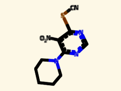 N#CSc1ncnc(N2CCCCC2)c1[N+](=O)[O-]